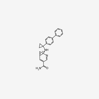 NC(=O)C1=CC2=C[C@]2(NC2(c3ccc(-c4ccccc4)cc3)CC2)N=C1